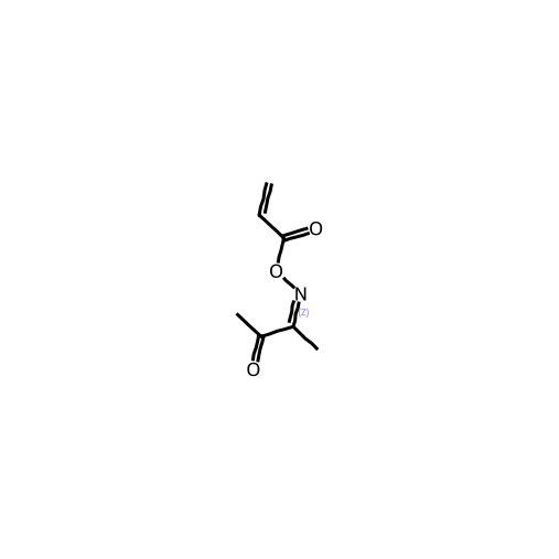 C=CC(=O)O/N=C(/C)C(C)=O